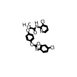 C[C@@H](Oc1ccc(Oc2nc3ccc(Cl)cc3o2)cc1)C(=O)Nc1ncccc1Cl